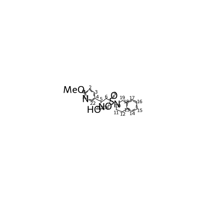 COc1ccc(C(CS(=O)(=O)N2CCc3ccccc3C2)=NO)cn1